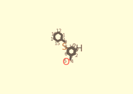 [2H]c1cc(C=O)cc(SCC2CCCCC2)c1